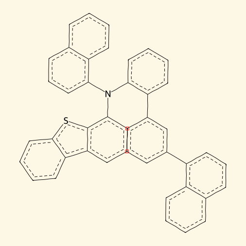 c1cc(-c2ccccc2N(c2cccc3ccccc23)c2cccc3c2sc2ccccc23)cc(-c2cccc3ccccc23)c1